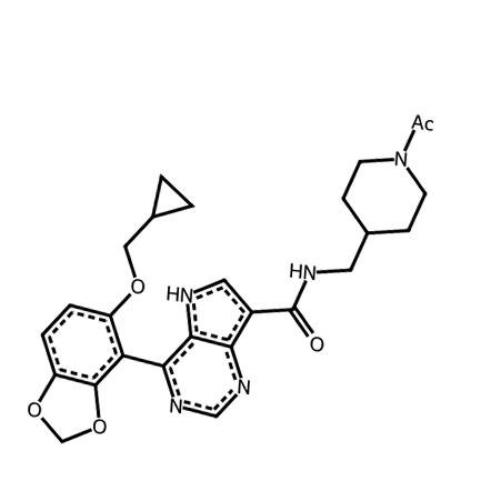 CC(=O)N1CCC(CNC(=O)c2c[nH]c3c(-c4c(OCC5CC5)ccc5c4OCO5)ncnc23)CC1